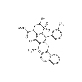 COC(=O)C1CN(C(C)C)S(=O)(=O)c2c(-c3cccc(C(F)(F)F)c3)c(Cc3cccc4ccccc34)c(C(N)=O)c(=O)n21